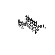 N#Cc1c(N)sc2c(F)ccc(-c3c(F)c4c5c(c3Cl)=NCNC=5N([C@@H]3CCOC3)C=C(OC[C@@]35CCCN3C[C@H](F)C5)O4)c12